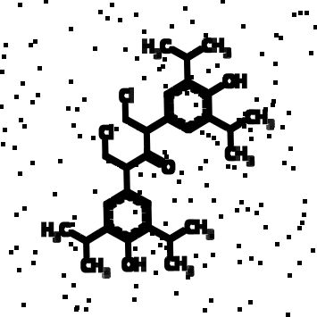 CC(C)c1cc(C(CCl)C(=O)C(CCl)c2cc(C(C)C)c(O)c(C(C)C)c2)cc(C(C)C)c1O